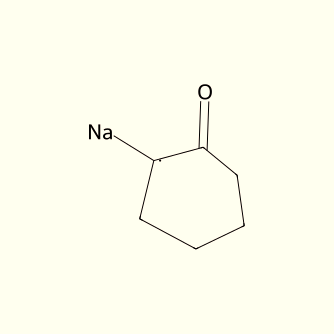 O=C1CCCC[C]1[Na]